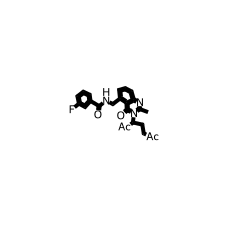 CC(=O)CCC(C(C)=O)n1c(C)nc2cccc(CNC(=O)c3cccc(F)c3)c2c1=O